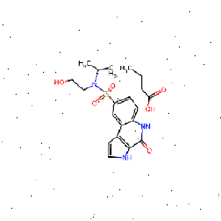 CC(C)N(CCO)S(=O)(=O)c1ccc2[nH]c(=O)c3[nH]ccc3c2c1.CCCC(=O)O